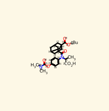 C[C@@H](C(=O)O)N(C(=O)C12CC3CC(CC(C(=O)OC(C)(C)C)(C3)C1)C2)c1ccc(OC(=O)N(C)C)cc1